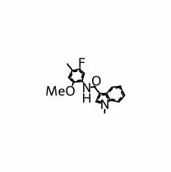 COc1cc(C)c(F)cc1NC(=O)c1cn(C)c2ccccc12